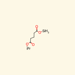 CC(C)OC(=O)CCCC(=O)O[SiH3]